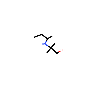 CCC(C)NC(C)(C)CO